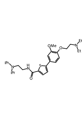 CCN(CC)CCOc1ccc(-c2ccc(C(=O)NCCN(C(C)C)C(C)C)s2)cc1OC